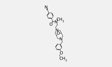 CCOc1cccc(CN2CC3CN(CCN(C)C(=O)c4ccc(C#N)cc4)CC(C2)O3)c1